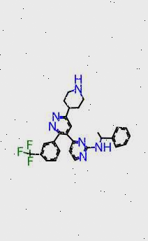 CC(Nc1nccc(-c2cc(C3CCNCC3)nnc2-c2cccc(C(F)(F)F)c2)n1)c1ccccc1